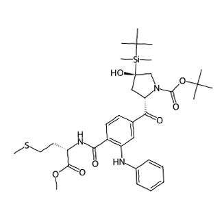 COC(=O)[C@H](CCSC)NC(=O)c1ccc(C(=O)[C@@H]2C[C@](O)([Si](C)(C)C(C)(C)C)CN2C(=O)OC(C)(C)C)cc1Nc1ccccc1